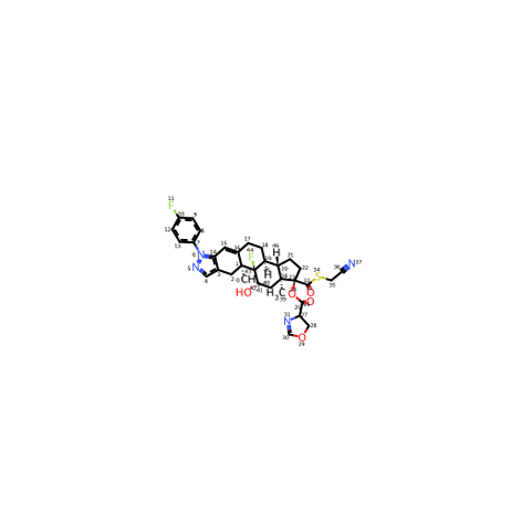 C[C@]12Cc3cnn(-c4ccc(F)cc4)c3C=C1CC[C@H]1[C@@H]3CC[C@](OC(=O)C4COC=N4)(C(=O)SCC#N)[C@@]3(C)C[C@H](O)[C@@]12F